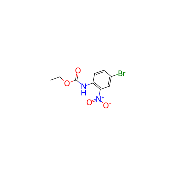 CCOC(=O)Nc1ccc(Br)cc1[N+](=O)[O-]